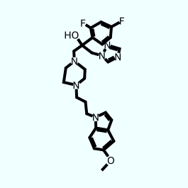 COc1ccc2c(ccn2CCCN2CCN(CC(O)(Cn3cncn3)c3ccc(F)cc3F)CC2)c1